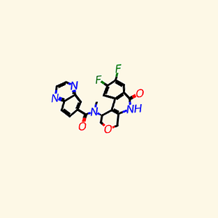 CN(C(=O)c1ccc2nccnc2c1)[C@@H]1COCc2[nH]c(=O)c3cc(F)c(F)cc3c21